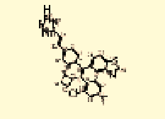 Fc1ccc(C(=C(c2ccc(C=Cc3nn[nH]n3)cc2)c2ccc3scnc3c2)C2CCC2)c(Cl)c1